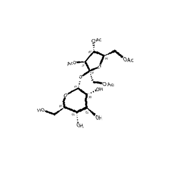 CC(=O)OC[C@H]1O[C@@](COC(C)=O)(O[C@H]2O[C@H](CO)[C@@H](O)[C@H](O)[C@H]2O)[C@@H](OC(C)=O)[C@@H]1OC(C)=O